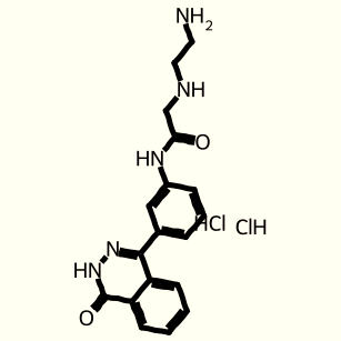 Cl.Cl.NCCNCC(=O)Nc1cccc(-c2n[nH]c(=O)c3ccccc23)c1